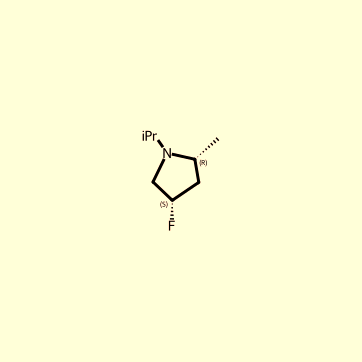 CC(C)N1C[C@@H](F)C[C@H]1C